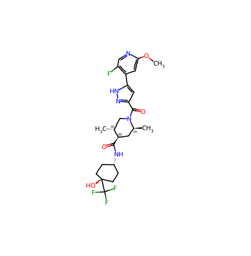 COc1cc(-c2cc(C(=O)N3C[C@@H](C)[C@H](C(=O)N[C@H]4CC[C@@](O)(C(F)(F)F)CC4)C[C@@H]3C)n[nH]2)c(F)cn1